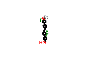 CCOc1ccc(-c2ccc(CCc3ccc(-c4ccc(CO)cc4)c(F)c3F)cc2)cc1F